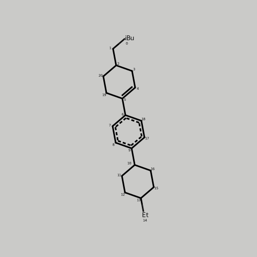 CCC(C)CC1CC=C(c2ccc(C3CCC(CC)CC3)cc2)CC1